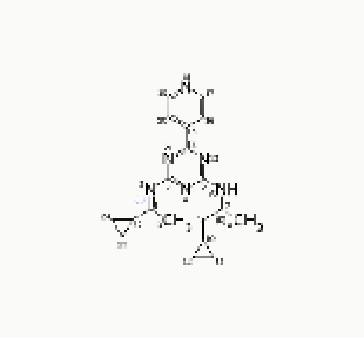 C/C(=N\c1nc(N[C@H](C)CC2CC2)nc(-c2ccncc2)n1)C1CC1